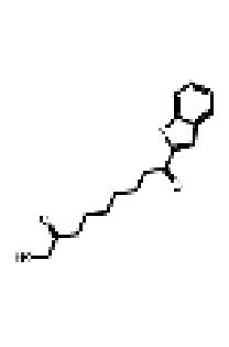 O=C(CS)CCCCCCC(=O)c1cc2ccccc2s1